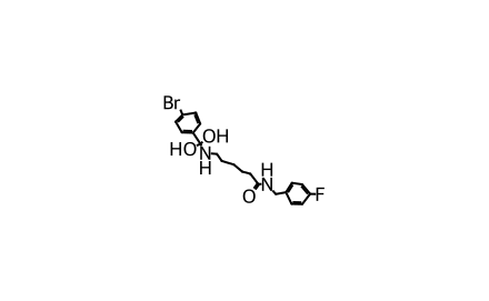 O=C(CCCCCNC(O)(O)c1ccc(Br)cc1)NCc1ccc(F)cc1